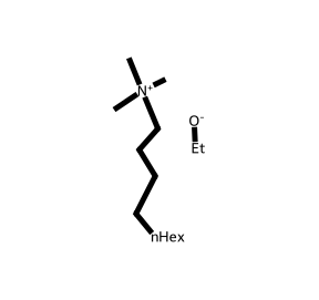 CCCCCCCCCC[N+](C)(C)C.CC[O-]